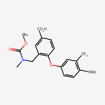 CSc1ccc(Oc2ccc(C(=O)O)cc2CN(C)C(=O)OC(C)(C)C)cc1C(F)(F)F